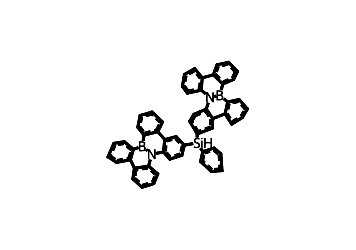 c1ccc([SiH](c2ccc3c(c2)-c2ccccc2B2c4ccccc4-c4ccccc4N23)c2ccc3c(c2)-c2ccccc2B2c4ccccc4-c4ccccc4N23)cc1